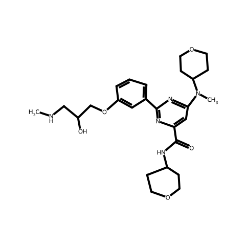 CNCC(O)COc1cccc(-c2nc(C(=O)NC3CCOCC3)cc(N(C)C3CCOCC3)n2)c1